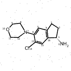 N[C@H]1CCc2cc(N3CCOCC3)c(Cl)cc21